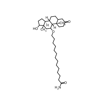 C[C@]12CCC(=O)CC1CC[C@@H]1[C@H]2C(OCCCCCCCCCCCCCC(N)=O)C[C@]2(C)C(O)CC[C@@H]12